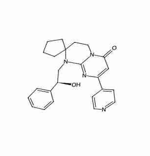 O=c1cc(-c2ccncc2)nc2n1CCC1(CCCC1)N2C[C@@H](O)c1ccccc1